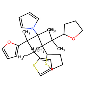 CC(C)(c1cccs1)C(C)(c1ccco1)C(C)(n1cccc1)C(C)(C1CCCS1)C(C)(C)C1CCCO1